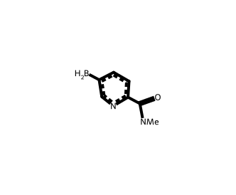 Bc1ccc(C(=O)NC)nc1